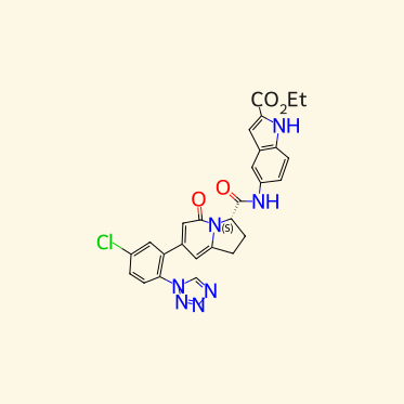 CCOC(=O)c1cc2cc(NC(=O)[C@@H]3CCc4cc(-c5cc(Cl)ccc5-n5cnnn5)cc(=O)n43)ccc2[nH]1